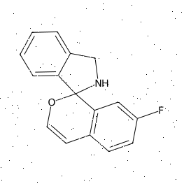 Fc1ccc2c(c1)C1(NCc3ccccc31)OC=C2